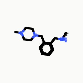 [CH2-][NH2+]Cc1ccccc1CN1CCN(C)CC1